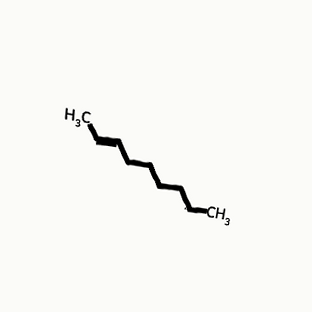 C[CH]CCCCC=CC